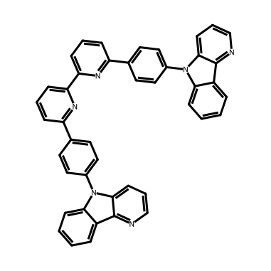 c1cc(-c2ccc(-n3c4ccccc4c4ncccc43)cc2)nc(-c2cccc(-c3ccc(-n4c5ccccc5c5ncccc54)cc3)n2)c1